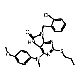 CCCSc1nc(N(C)c2ccc(OC)cc2)c2[nH]c(=O)n(Cc3ccccc3Cl)c2n1